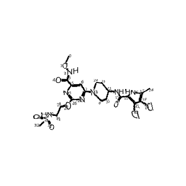 CONC(=O)c1cc(N2CCC(NC(=O)c3[nH]c(C)c(Cl)c3Cl)CC2)nc(OCCNS(C)(=O)=O)n1